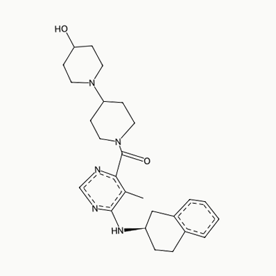 Cc1c(N[C@@H]2CCc3ccccc3C2)ncnc1C(=O)N1CCC(N2CCC(O)CC2)CC1